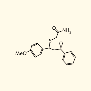 COc1ccc(C(CC(=O)c2ccccc2)SCC(N)=O)cc1